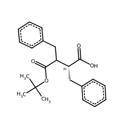 CC(C)(C)OC(=O)C(Cc1ccccc1)[C@@H](Cc1ccccc1)C(=O)O